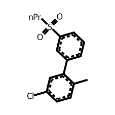 CCCS(=O)(=O)c1cccc(-c2cc(Cl)ccc2C)c1